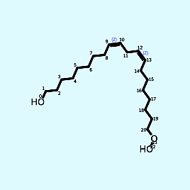 OCCCCCCCC/C=C\C/C=C\CCCCCCCOO